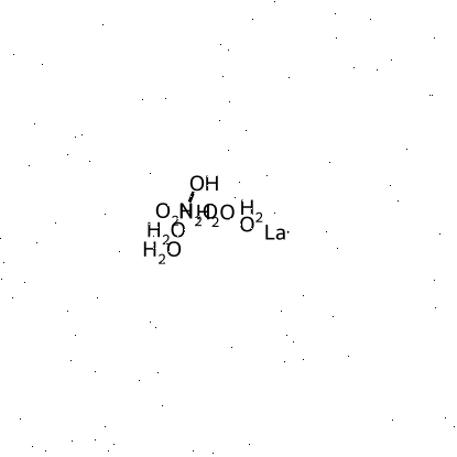 O.O.O.O.O.O=[N+]([O-])O.[La]